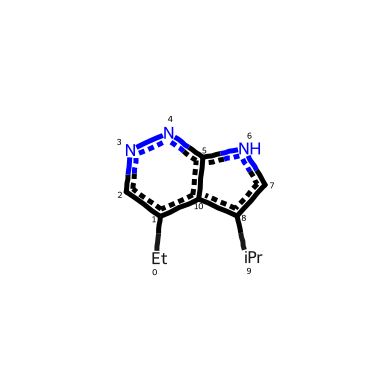 CCc1cnnc2[nH]cc(C(C)C)c12